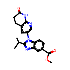 COC(=O)c1ccc2c(c1)nc(C(C)C)n2-c1cnc2c(c1)CCC(=O)N2